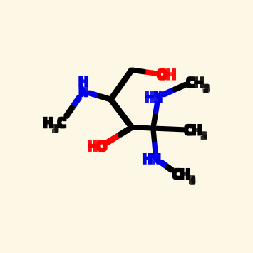 CNC(CO)C(O)C(C)(NC)NC